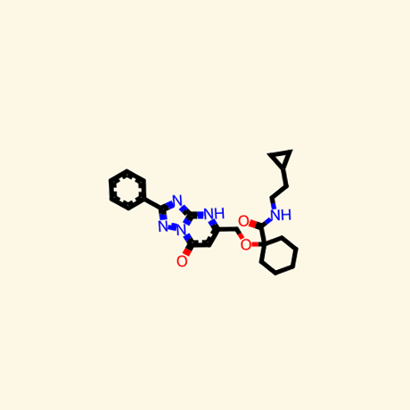 O=C(NCCC1CC1)C1(OCc2cc(=O)n3nc(-c4ccccc4)nc3[nH]2)CCCCC1